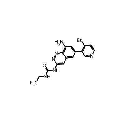 CCc1ccncc1-c1cc(N)c2nnc(NC(=O)NCC(F)(F)F)cc2c1